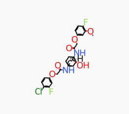 COc1cc(OCC(=O)NC23CCC(NC(=O)COc4ccc(Cl)c(F)c4)(CC2)C[C@@H]3O)ccc1F